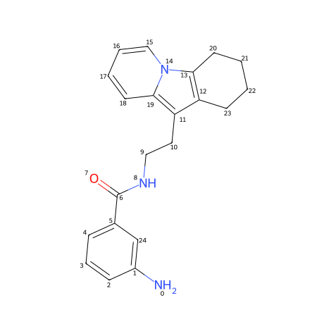 Nc1cccc(C(=O)NCCc2c3c(n4ccccc24)CCCC3)c1